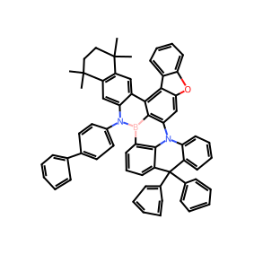 CC1(C)CCC(C)(C)c2cc3c(cc21)-c1c2c(cc4oc5ccccc5c14)N1c4ccccc4C(c4ccccc4)(c4ccccc4)c4cccc(c41)B2N3c1ccc(-c2ccccc2)cc1